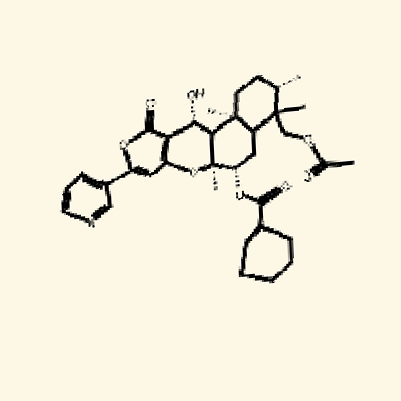 CC(=O)OCC1(C)C2C[C@H](OC(=O)C3CCCCC3)[C@@]3(C)Oc4cc(-c5cccnc5)oc(=O)c4[C@H](O)C3[C@@]2(C)CC[C@@H]1C